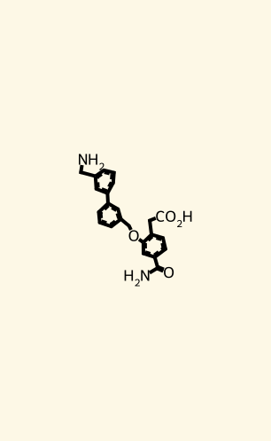 NCc1cccc(-c2cccc(COc3cc(C(N)=O)ccc3CC(=O)O)c2)c1